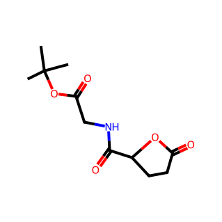 CC(C)(C)OC(=O)CNC(=O)C1CCC(=O)O1